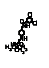 CC(C)(C)NC(=O)CNC1CCC(CNC(=O)c2cc(Cl)cc(Cl)c2)CC1